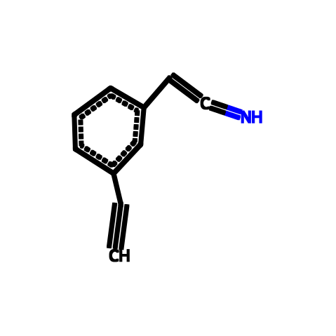 C#Cc1cccc(C=C=N)c1